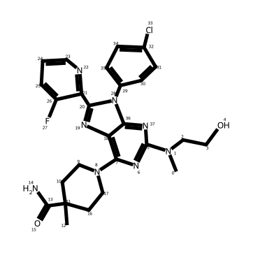 CN(CCO)c1nc(N2CCC(C)(C(N)=O)CC2)c2nc(-c3ncccc3F)n(-c3ccc(Cl)cc3)c2n1